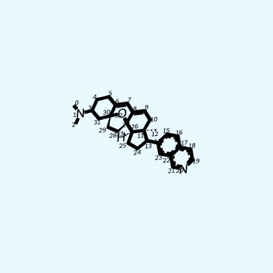 CN(C)C1CCC2=CC3=CC[C@@]4(C)C(c5ccc6ccncc6c5)CC[C@H]4[C@@]34CC[C@]2(C1)O4